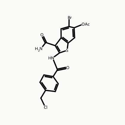 CC(=O)Oc1cc2sc(NC(=O)c3ccc(CCl)cc3)c(C(N)=O)c2cc1Br